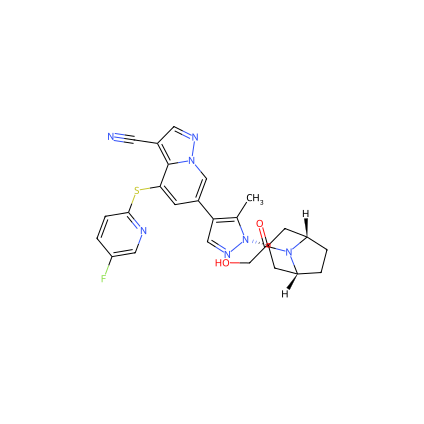 Cc1c(-c2cc(Sc3ccc(F)cn3)c3c(C#N)cnn3c2)cnn1[C@H]1C[C@H]2CC[C@@H](C1)N2C(=O)CO